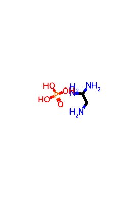 NCC(N)N.O=P(O)(O)O